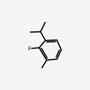 [CH2]C(C)c1cccc(C)c1F